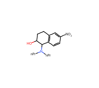 CCCN(CCC)C1c2ccc([N+](=O)[O-])cc2CCC1O